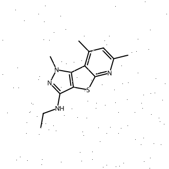 CCNc1nn(C)c2c1sc1nc(C)cc(C)c12